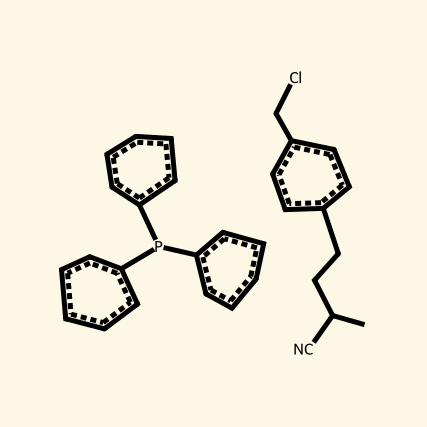 CC(C#N)CCc1ccc(CCl)cc1.c1ccc(P(c2ccccc2)c2ccccc2)cc1